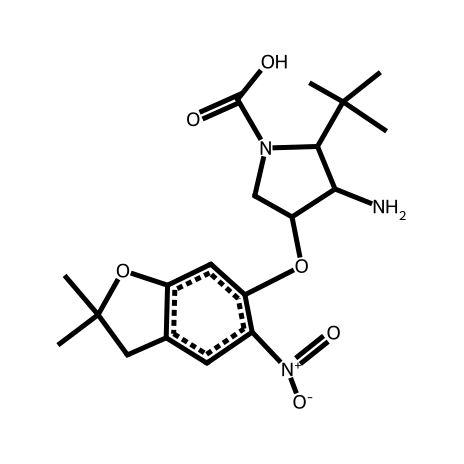 CC1(C)Cc2cc([N+](=O)[O-])c(OC3CN(C(=O)O)C(C(C)(C)C)C3N)cc2O1